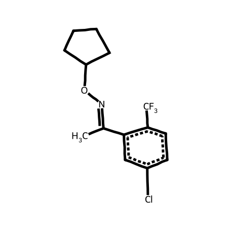 C/C(=N\OC1CCCC1)c1cc(Cl)ccc1C(F)(F)F